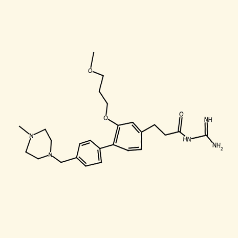 COCCCOc1cc(CCC(=O)NC(=N)N)ccc1-c1ccc(CN2CCN(C)CC2)cc1